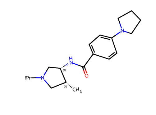 CC(C)N1C[C@@H](C)[C@@H](NC(=O)c2ccc(N3CCCC3)cc2)C1